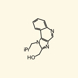 CC(C)Cn1c(CO)nc2cnc3ccccc3c21